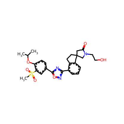 CC(C)Oc1ccc(-c2nc(-c3cccc4c3CCC43CC(=O)N(CCO)C3)no2)cc1S(C)(=O)=O